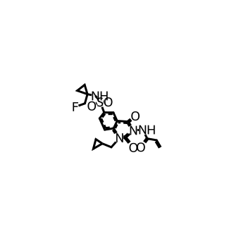 C=CC(=O)Nn1c(=O)c2cc(S(=O)(=O)NC3(CF)CC3)ccc2n(CC2CC2)c1=O